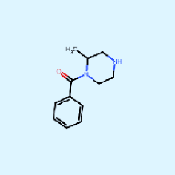 CC1CNCCN1C(=O)c1ccccc1